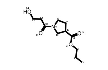 CCCOC(=O)C1CCN(C(=O)CCO)C1